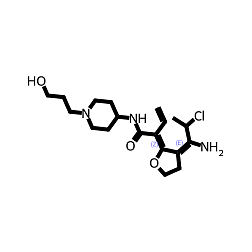 C=C/C(C(=O)NC1CCN(CCCO)CC1)=C1/OCC/C1=C(\N)C(C)Cl